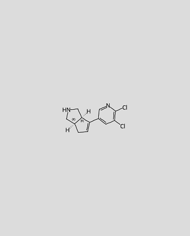 Clc1cc(C2=CC[C@H]3CNC[C@@H]23)cnc1Cl